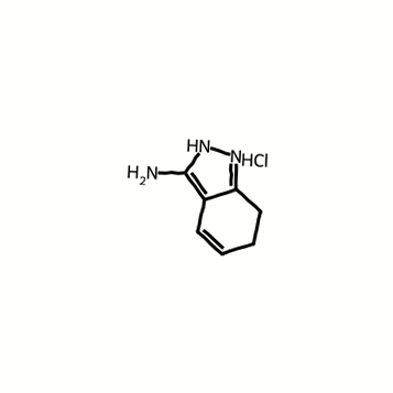 Cl.Nc1[nH]nc2c1C=CCC2